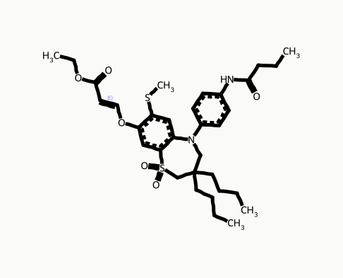 CCCCC1(CCCC)CN(c2ccc(NC(=O)CCC)cc2)c2cc(SC)c(O/C=C/C(=O)OCC)cc2S(=O)(=O)C1